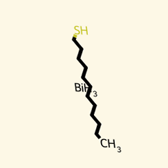 CCCCCCCCCCCCS.[BiH3]